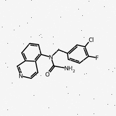 NC(=O)N(Cc1ccc(F)c(Cl)c1)c1cccc2cnccc12